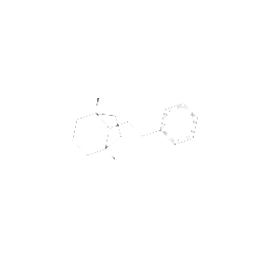 c1ccc(CCN2[C@@H]3CCC[C@H]2CC3)cc1